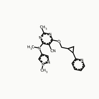 Cc1nc(OCC2CC2c2ccccn2)c(C#N)c(N(C)c2cnn(C)c2)n1